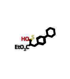 CCOC(=O)C(Cc1ccc(C2CCCCC2)cc1)C(O)=S